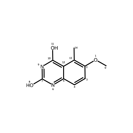 COc1ccc2nc(O)nc(O)c2c1C